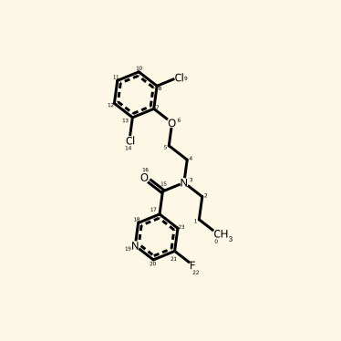 CCCN(CCOc1c(Cl)cccc1Cl)C(=O)c1cncc(F)c1